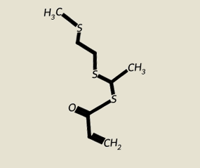 C=CC(=O)SC(C)SCCSC